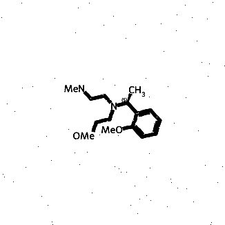 CNCCN(CCOC)[C@@H](C)c1ccccc1OC